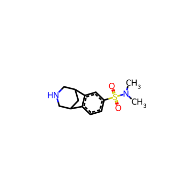 CN(C)S(=O)(=O)c1ccc2c(c1)C1CNCC2C1